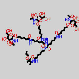 CC=COC(C)(C)C(C)NC(=O)CCCCCNC(=O)C(CCCCNC(=O)CCCCCOC1OC(CO)C(O)C(O)C1NC(C)=O)NC(=O)C(CCCCNC(=O)CCCCCOC1OC(CO)C(O)C(O)C1NC(C)=O)NC(=O)CCCCCOC(OC(CO)[C@@H](C)O)[C@H](CO)NC(C)=O